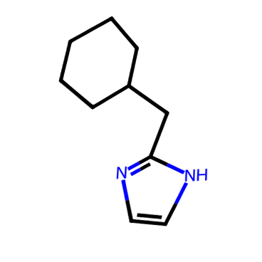 c1c[nH]c(CC2CCCCC2)n1